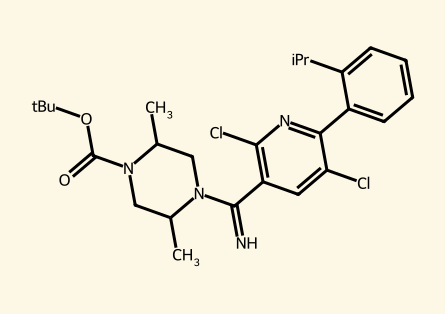 CC(C)c1ccccc1-c1nc(Cl)c(C(=N)N2CC(C)N(C(=O)OC(C)(C)C)CC2C)cc1Cl